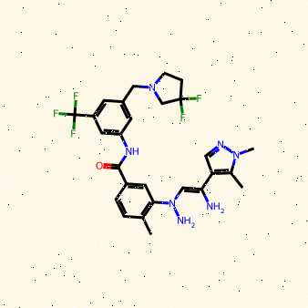 Cc1ccc(C(=O)Nc2cc(CN3CCC(F)(F)C3)cc(C(F)(F)F)c2)cc1N(N)/C=C(\N)c1cnn(C)c1C